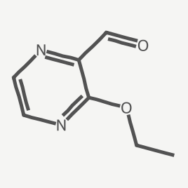 CCOc1nccnc1C=O